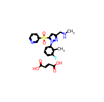 CNCc1cc(S(=O)(=O)c2cccnc2)n(-c2cccc(F)c2C)n1.O=C(O)C=CC(=O)O